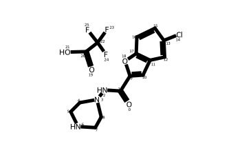 O=C(NN1CCNCC1)c1cc2cc(Cl)ccc2o1.O=C(O)C(F)(F)F